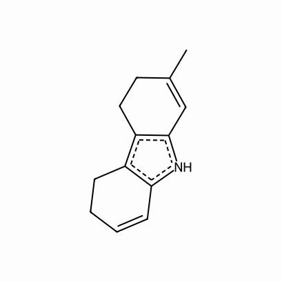 CC1=Cc2[nH]c3c(c2CC1)CCC=C3